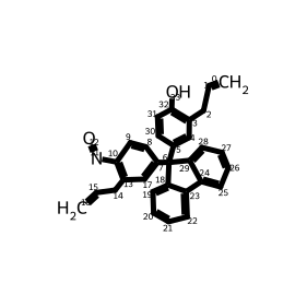 C=CCc1cc(C2(c3ccc(N=O)c(CC=C)c3)c3ccccc3-c3ccccc32)ccc1O